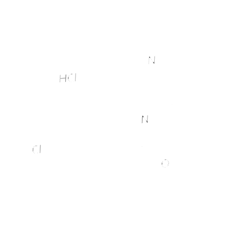 CC(CCCl)C(=O)N1CCN(C)CC1C.Cl